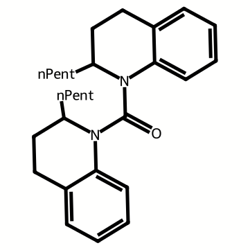 CCCCCC1CCc2ccccc2N1C(=O)N1c2ccccc2CCC1CCCCC